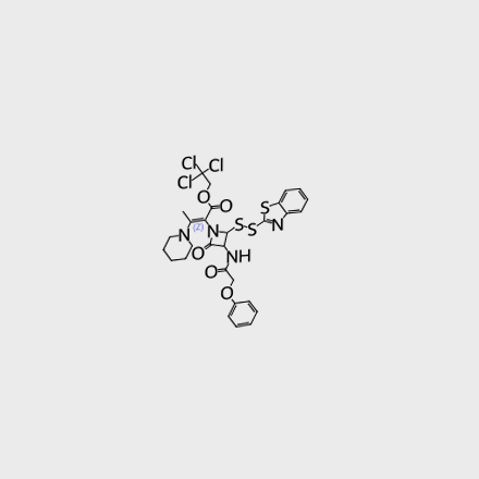 C/C(=C(\C(=O)OCC(Cl)(Cl)Cl)N1C(=O)C(NC(=O)COc2ccccc2)C1SSc1nc2ccccc2s1)N1CCCCC1